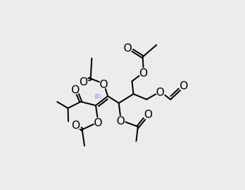 CC(=O)OCC(COC=O)C(OC(C)=O)/C(OC(C)=O)=C(\OC(C)=O)C(=O)C(C)C